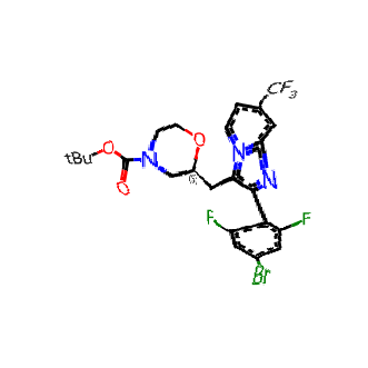 CC(C)(C)OC(=O)N1CCO[C@@H](Cc2c(-c3c(F)cc(Br)cc3F)nc3cc(C(F)(F)F)ccn23)C1